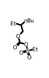 CCCCC(CC)COC(=O)OS(=O)(=O)CC